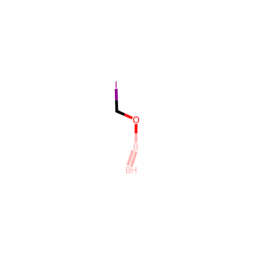 B=BOCI